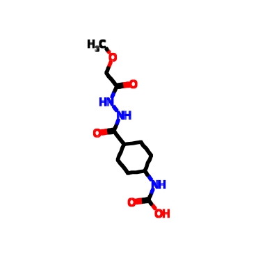 COCC(=O)NNC(=O)C1CCC(NC(=O)O)CC1